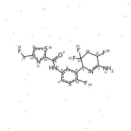 NC1=NC(c2cc(NC(=O)c3nc(CF)cs3)ccc2F)C(F)(F)CC1F